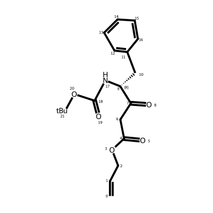 C=CCOC(=O)CC(=O)[C@@H](Cc1ccccc1)NC(=O)OC(C)(C)C